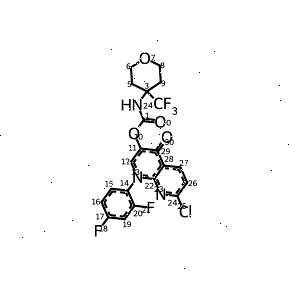 O=C(NC1(C(F)(F)F)CCOCC1)Oc1cn(-c2ccc(F)cc2F)c2nc(Cl)ccc2c1=O